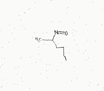 CC(CCI)N=O